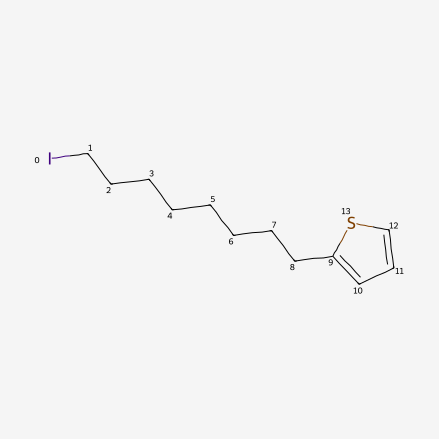 ICCCCCCCCc1cccs1